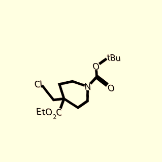 CCOC(=O)C1(CCl)CCN(C(=O)OC(C)(C)C)CC1